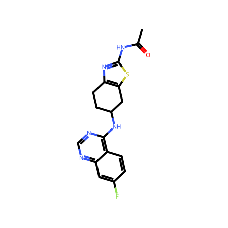 CC(=O)Nc1nc2c(s1)CC(Nc1ncnc3cc(F)ccc13)CC2